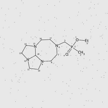 CCOP(C)(=O)CN1CCN2CCN3CCN(CC1)C23